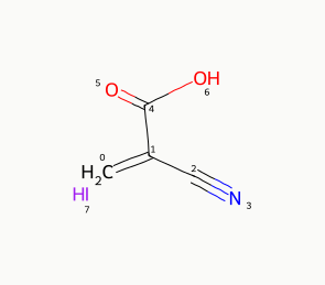 C=C(C#N)C(=O)O.I